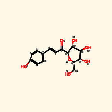 O=C(C=Cc1ccc(O)cc1)[C]1O[C@H](CO)[C@@H](O)[C@H](O)[C@H]1O